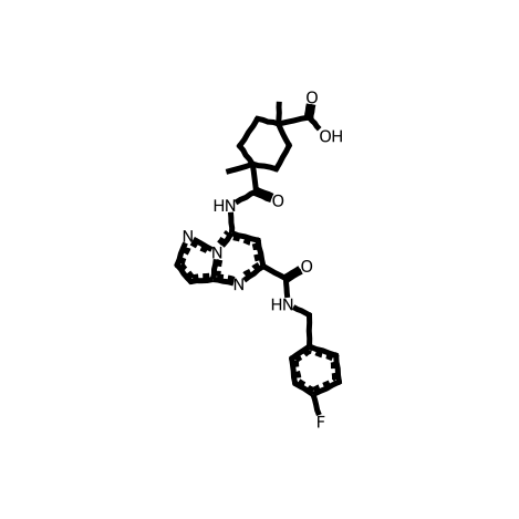 CC1(C(=O)O)CCC(C)(C(=O)Nc2cc(C(=O)NCc3ccc(F)cc3)nc3ccnn23)CC1